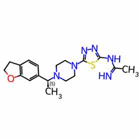 CC(=N)Nc1nnc(N2CCN([C@@H](C)c3ccc4c(c3)OCC4)CC2)s1